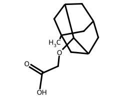 CC12CC3CC(C1)C(OCC(=O)O)C(C3)C2